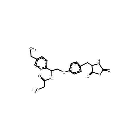 CCC(=O)OC(COc1ccc(CC2NC(=O)SC2=O)cc1)c1ccc(CC)cn1